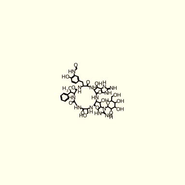 CC(c1ccccc1)C1NC(=O)CNC(=O)C(CO)NC(=O)C(C(O)C2CNC(=N)N2C2OC(CO)C(O)C(O)C2O)NC(=O)C(C(O)C2CNC(=N)N2)NC(=O)C(Cc2ccc(O)c(NC=O)c2)NC1=O